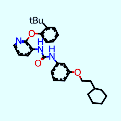 CC(C)(C)c1ccccc1Oc1ncccc1NC(=O)Nc1cccc(OCCC2CCCCC2)c1